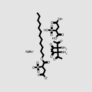 CC(=O)C(N)(C(C)=O)C(N)(C(C)=O)C(C)=O.CCCCCCCCCCCCOC(=O)C(CC(=O)[O-])S(=O)(=O)[O-].O=C(O)CC(C(=O)O)S(=O)(=O)O.[Na+].[Na+]